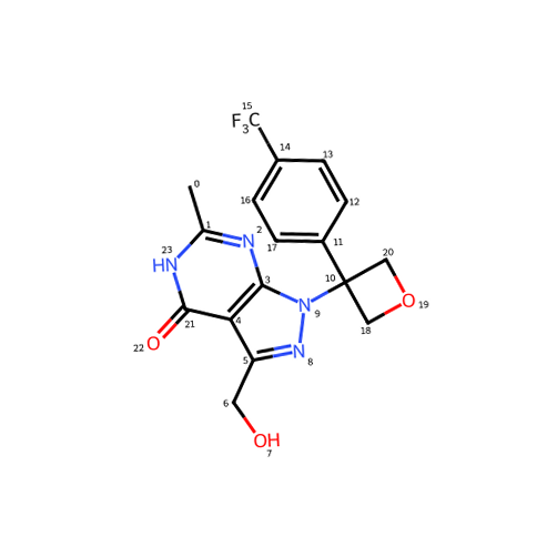 Cc1nc2c(c(CO)nn2C2(c3ccc(C(F)(F)F)cc3)COC2)c(=O)[nH]1